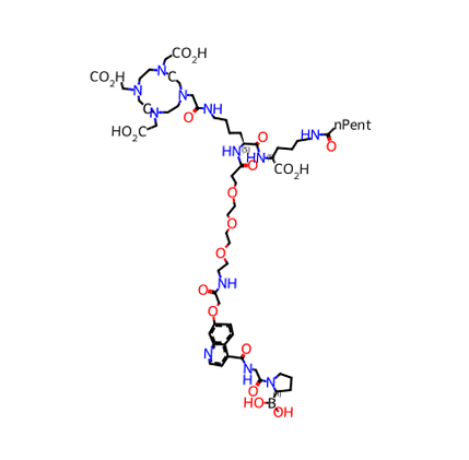 CCCCCC(=O)NCCCC[C@H](NC(=O)[C@H](CCCCNC(=O)CN1CCN(CC(=O)O)CCN(CC(=O)O)CCN(CC(=O)O)CC1)NC(=O)CCOCCOCCOCCNC(=O)COc1ccc2c(C(=O)NCC(=O)N3CCC[C@H]3B(O)O)ccnc2c1)C(=O)O